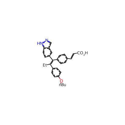 CCCCOc1ccc(/C(CC)=C(\c2ccc(/C=C/C(=O)O)cc2)c2ccc3[nH]ncc3c2)cc1